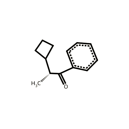 C[C@@H](C(=O)c1ccccc1)C1CCC1